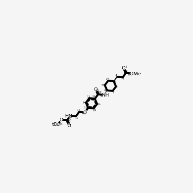 COC(=O)CC[C@H]1CC[C@H](NC(=O)c2ccc(OCCNC(=O)OC(C)(C)C)cc2)CC1